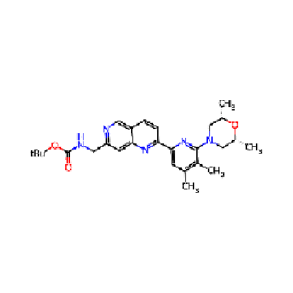 Cc1cc(-c2ccc3cnc(CNC(=O)OC(C)(C)C)cc3n2)nc(N2C[C@@H](C)O[C@@H](C)C2)c1C